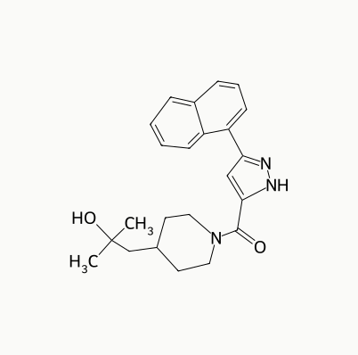 CC(C)(O)CC1CCN(C(=O)c2cc(-c3cccc4ccccc34)n[nH]2)CC1